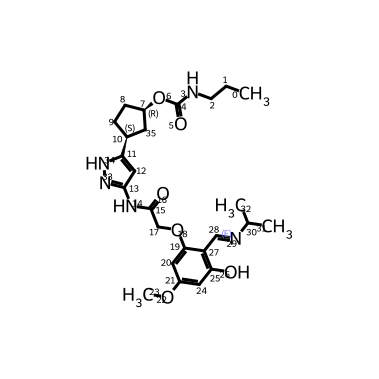 CCCNC(=O)O[C@@H]1CC[C@H](c2cc(NC(=O)COc3cc(OC)cc(O)c3/C=N/C(C)C)n[nH]2)C1